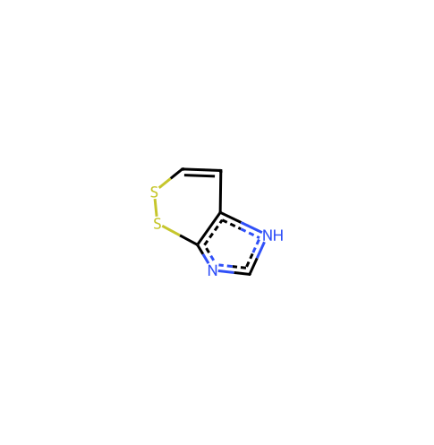 C1=Cc2[nH]cnc2SS1